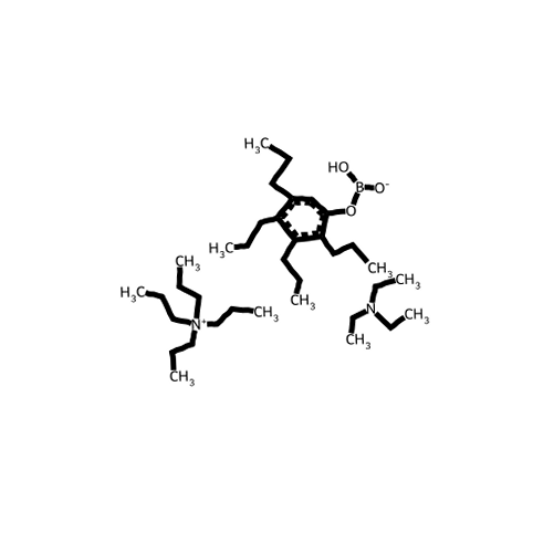 CCC[N+](CCC)(CCC)CCC.CCCc1cc(OB([O-])O)c(CCC)c(CCC)c1CCC.CCN(CC)CC